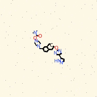 CN(C)C(=O)ON1CCN(Cc2ccc3cc(Oc4ncc(-c5ccn[nH]5)cn4)ccc3c2)CC1